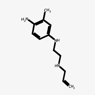 C=CCNCCNc1ccc(N)c(C)c1